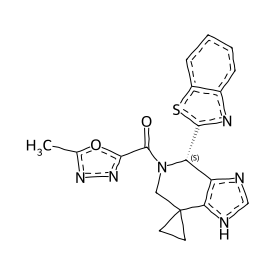 Cc1nnc(C(=O)N2CC3(CC3)c3[nH]cnc3[C@H]2c2nc3ccccc3s2)o1